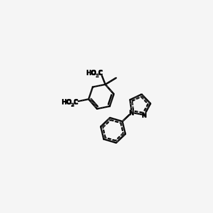 CC1(C(=O)O)C=CC=C(C(=O)O)C1.c1ccc(-n2cccn2)cc1